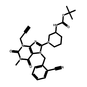 C#CCn1c(=O)n(C)c(=O)c2c1nc(N1CCCC(NC(=O)OC(C)(C)C)C1)n2Cc1ccccc1C#N